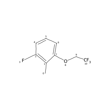 Cc1c(F)cccc1OCC(F)(F)F